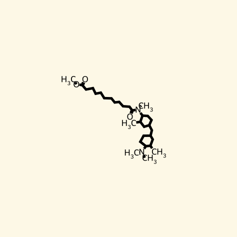 COC(=O)CCCCCCCCCCC(=O)N(C)C1CCC(CC2CCC(N(C)C)C(C)C2)CC1C